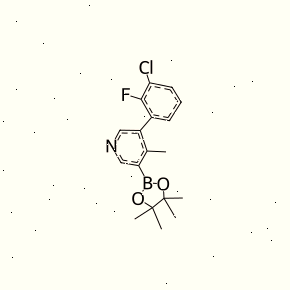 Cc1c(B2OC(C)(C)C(C)(C)O2)cncc1-c1cccc(Cl)c1F